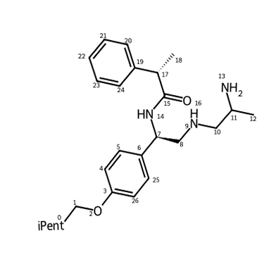 CCCC(C)COc1ccc([C@H](CNCC(C)N)NC(=O)[C@@H](C)c2ccccc2)cc1